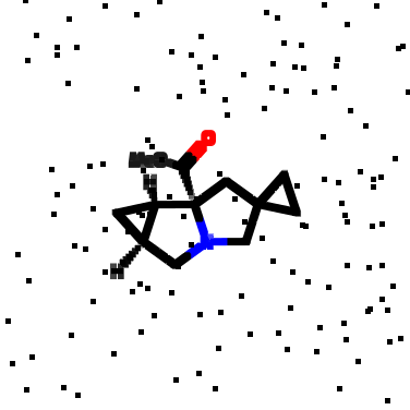 COC(=O)[C@]12CC3(CC3)CN1C[C@H]1C[C@H]12